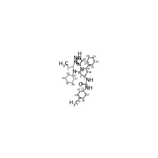 CCCN(c1cc(NC(=O)Nc2ccc(C)cc2)cc(-c2ccccc2-c2nnn[nH]2)n1)C1CCCCC1